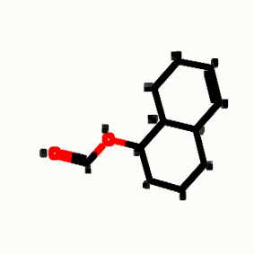 O=COC1CCCC2C=CCCC21